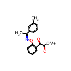 COC(=O)C(=O)c1ccccc1O/N=C(/C)c1cccc(C)c1